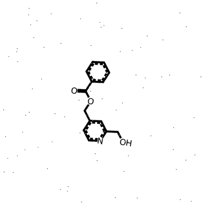 O=C(OCc1ccnc(CO)c1)c1ccccc1